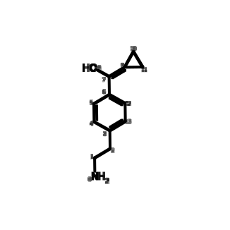 NCCc1ccc(C(O)=C2CC2)cc1